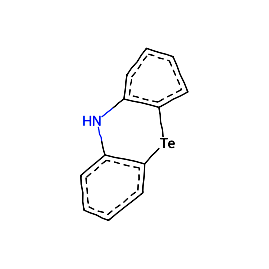 c1ccc2c(c1)Nc1ccccc1[Te]2